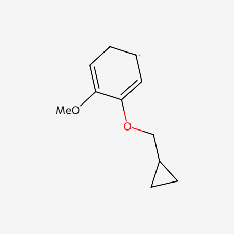 COC1=CC[CH]C=C1OCC1CC1